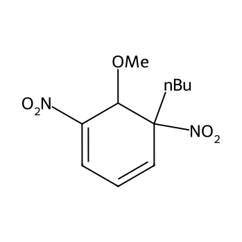 CCCCC1([N+](=O)[O-])C=CC=C([N+](=O)[O-])C1OC